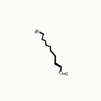 CC(C)CCCCCCCC=CC=O